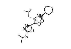 CC(C)C[C@H](NC(=O)C1CCCCC1)C(=O)c1nnc(SC(C)C)o1